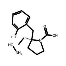 CC[C@@]1(Cc2ccccc2O)CCCN1C(=O)O.NO